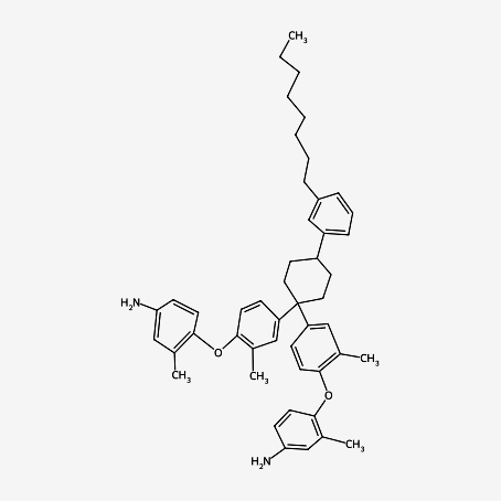 CCCCCCCCc1cccc(C2CCC(c3ccc(Oc4ccc(N)cc4C)c(C)c3)(c3ccc(Oc4ccc(N)cc4C)c(C)c3)CC2)c1